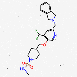 CNS(=O)(=O)N1CCC(COc2cnc(CN3Cc4ccccc4C3)cc2C(F)F)CC1